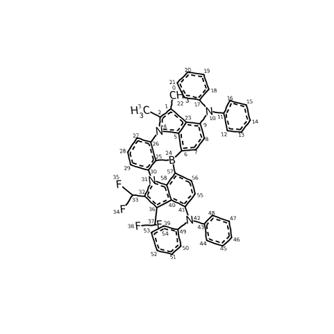 Cc1c(C)n2c3c(ccc(N(c4ccccc4)c4ccccc4)c13)B1c3c-2cccc3-n2c(C(F)F)c(C(F)F)c3c(N(c4ccccc4)c4ccccc4)ccc1c32